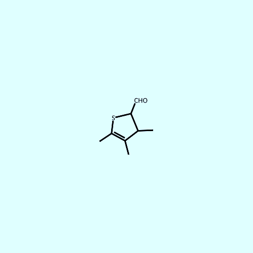 CC1=C(C)C(C)C(C=O)S1